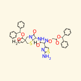 C=CC1(C(=O)OC(c2ccccc2)c2ccccc2)CS[C@@H]2C(NC(=O)C(=NOCC(=O)OC(c3ccccc3)c3ccccc3)c3csc(N)n3)C(=O)N2C1